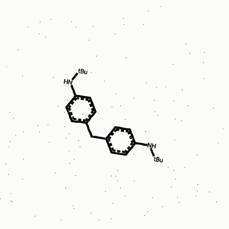 CC(C)(C)Nc1ccc(Cc2ccc(NC(C)(C)C)cc2)cc1